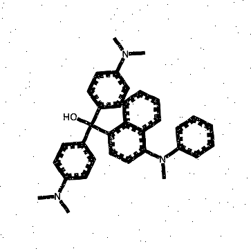 CN(C)c1ccc(C(O)(c2ccc(N(C)C)cc2)c2ccc(N(C)c3ccccc3)c3ccccc23)cc1